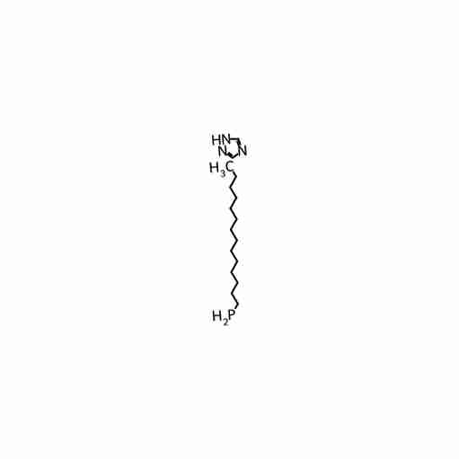 CCCCCCCCCCCCCCP.c1nc[nH]n1